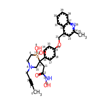 CC#CCN1CCS(O)(O)C(CC(=O)NO)(c2ccc(OCc3cc(C)nc4ccccc34)cc2)C1